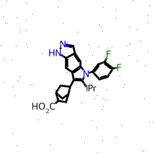 CC(C)c1c(C2CC3CC2CC3C(=O)O)c2cc3[nH]ncc3cc2n1-c1ccc(F)c(F)c1